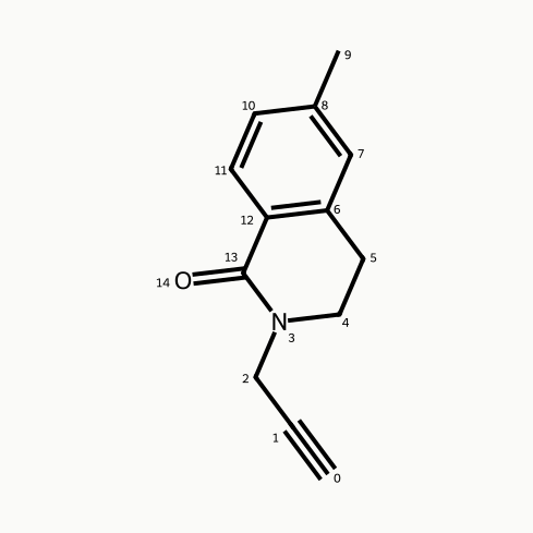 C#CCN1CCc2cc(C)ccc2C1=O